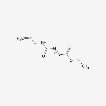 C=CCNC(=O)/N=N/C(=O)OCC